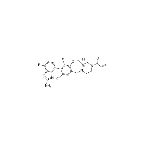 C=CC(=O)N1CCN2Cc3cc(Cl)c(-c4ccc(F)c5sc(N)nc45)c(F)c3OC[C@H]2C1